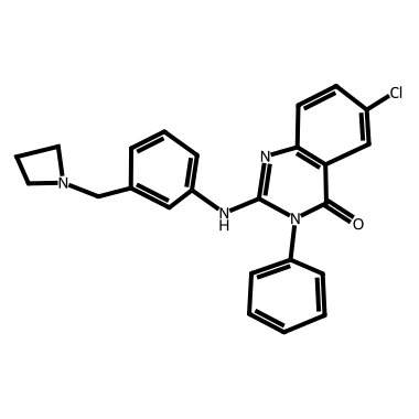 O=c1c2cc(Cl)ccc2nc(Nc2cccc(CN3CCC3)c2)n1-c1ccccc1